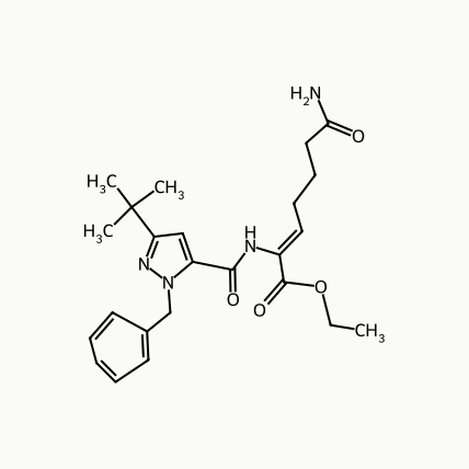 CCOC(=O)/C(=C/CCCC(N)=O)NC(=O)c1cc(C(C)(C)C)nn1Cc1ccccc1